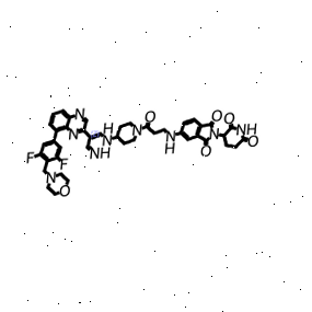 N=C/C(=C\NC1CCN(C(=O)CCNc2ccc3c(c2)C(=O)N(C2CCC(=O)NC2=O)C3=O)CC1)c1cnc2cccc(-c3cc(F)c(CN4CCOCC4)c(F)c3)c2n1